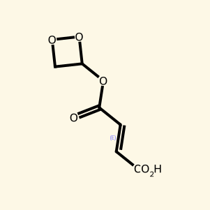 O=C(O)/C=C/C(=O)OC1COO1